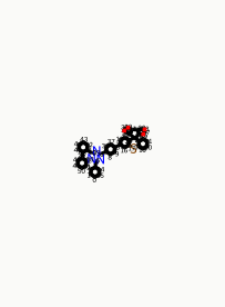 c1ccc(-c2nc(-c3ccc(-c4ccc5c(c4)Sc4ccccc4C54c5ccccc5-c5ccccc54)cc3)nc(-c3ccccc3-c3ccccc3)n2)cc1